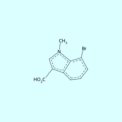 Cn1cc(C(=O)O)c2cccc(Br)c21